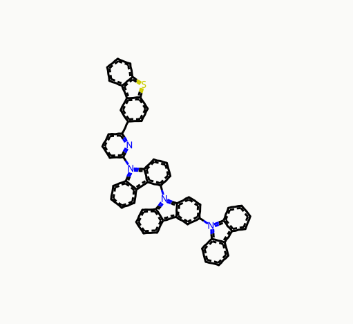 c1cc(-c2ccc3sc4ccccc4c3c2)nc(-n2c3ccccc3c3c(-n4c5ccccc5c5cc(-n6c7ccccc7c7ccccc76)ccc54)cccc32)c1